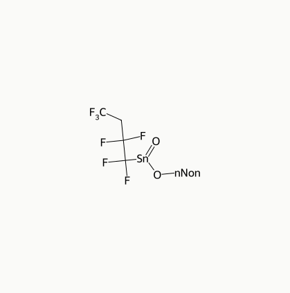 CCCCCCCCC[O][Sn](=[O])[C](F)(F)C(F)(F)CC(F)(F)F